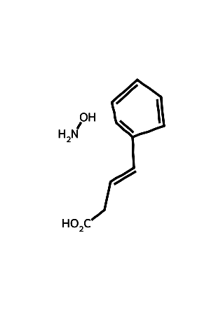 NO.O=C(O)CC=Cc1ccccc1